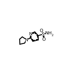 NS(=O)(=O)c1ccc(N2CCCC2)nc1